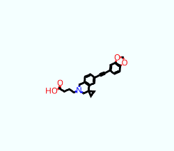 O=C(O)CCCN1Cc2ccc(C#Cc3ccc4c(c3)OCO4)cc2C2(CC2)C1